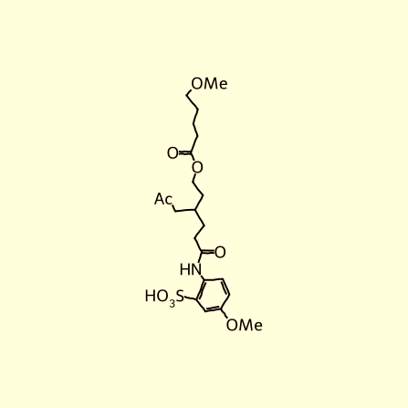 COCCCCC(=O)OCCC(CCC(=O)Nc1ccc(OC)cc1S(=O)(=O)O)CC(C)=O